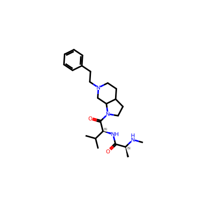 CN[C@@H](C)C(=O)N[C@H](C(=O)N1CCC2CCN(CCc3ccccc3)CC21)C(C)C